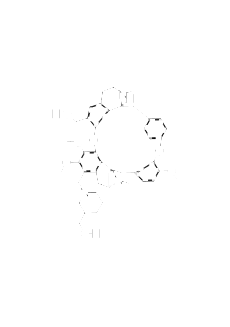 COc1ccc2cc1Oc1ccc(cc1)C[C@H]1c3cc(c(CO)cc3CCN1C)Oc1c(OC)c(OC)c(CN3CCCC(CO)C3)c3c1[C@H](C2)N(C)CC3